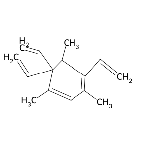 C=CC1=C(C)C=C(C)C(C=C)(C=C)C1C